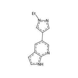 CCn1cc(-c2cnc3[nH]ccc3c2)cn1